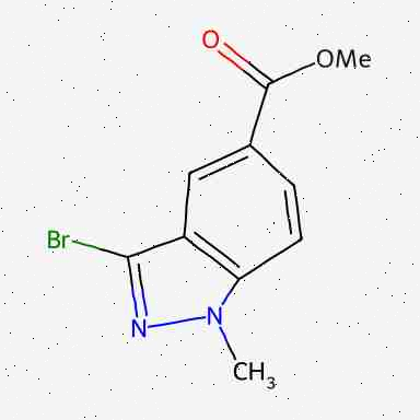 COC(=O)c1ccc2c(c1)c(Br)nn2C